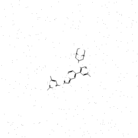 Cc1cc(-c2ccn3nc(Nc4cc(C)nc(C)n4)cc3c2)c(OC2C[C@H]3COC[C@@H](C2)N3)cn1